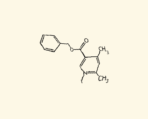 Cc1cc(C)[n+](I)cc1C(=O)OCc1ccccc1